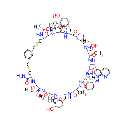 CC(=O)N[C@H]1CSCc2cccc(c2)CSC[C@H](C(N)=O)NC(=O)[C@H]([C@@H](C)O)NC(=O)[C@](C)(C(C)C)NC(=O)[C@H](Cc2ccc(O)cc2)NC(=O)[C@H](C)NC(=O)[C@](C)(c2ccccc2)NC(=O)[C@H](Cc2c[nH]c3ncccc23)NC(=O)[C@H]([C@@H](C)O)NC(=O)[C@@H]2CCCN2C(=O)[C@H](Cc2ccc(O)cc2)NC(=O)[C@H](C(C)(C)C)NC1=O